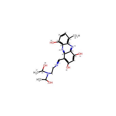 CC(O)N(CC/N=C/c1c(O)cc(O)c2nc3c(C(=O)O)ccc(O)c3nc12)C(C)O